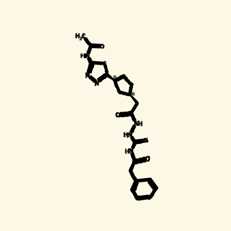 CC(=O)Nc1nnc([C@H]2CC[C@@H](CC(=O)NNC(=S)NC(=O)Cc3ccccc3)C2)s1